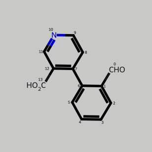 O=Cc1ccccc1-c1ccncc1C(=O)O